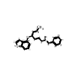 CCCC(CCCNCc1ccccc1)Oc1cccc2sccc12